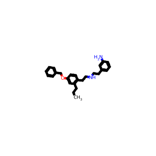 CCCc1cc(OCc2ccccc2)ccc1CCNCCc1cccc(N)c1